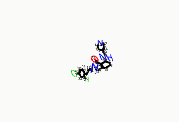 O=C1c2c(cccc2NCc2ccncc2)CN1CCc1ccc(Cl)cc1Cl